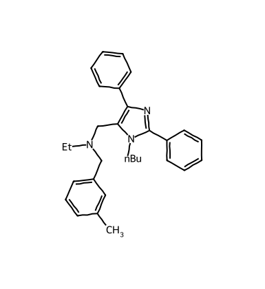 CCCCn1c(-c2ccccc2)nc(-c2ccccc2)c1CN(CC)Cc1cccc(C)c1